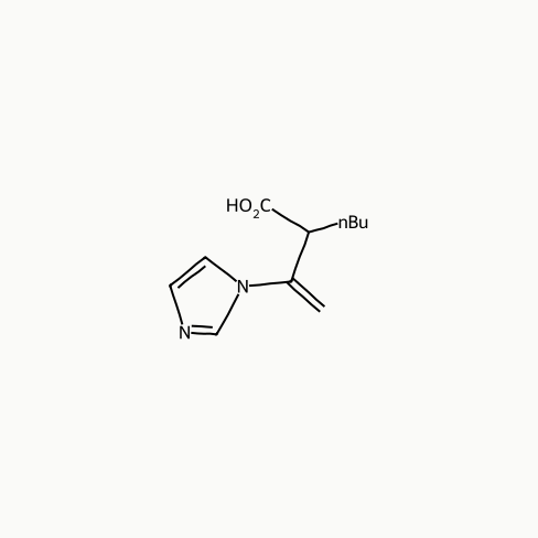 C=C(C(CCCC)C(=O)O)n1ccnc1